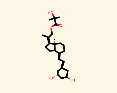 CC(COC(=O)C(C)(C)O)=C1CCC2/C(=C/C=C3C[C@@H](O)C[C@H](O)C3)CCC[C@]12C